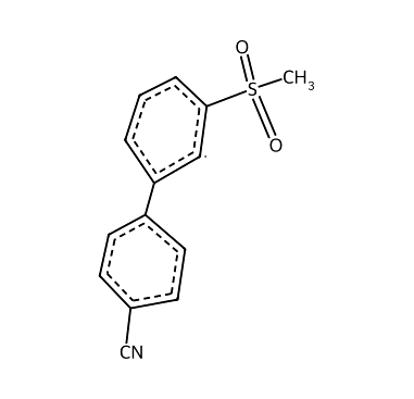 CS(=O)(=O)c1[c]c(-c2ccc(C#N)cc2)ccc1